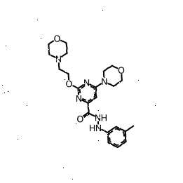 Cc1cccc(NNC(=O)c2cc(N3CCOCC3)nc(OCCN3CCOCC3)n2)c1